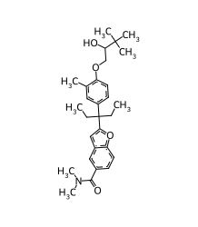 CCC(CC)(c1ccc(OCC(O)C(C)(C)C)c(C)c1)c1cc2cc(C(=O)N(C)C)ccc2o1